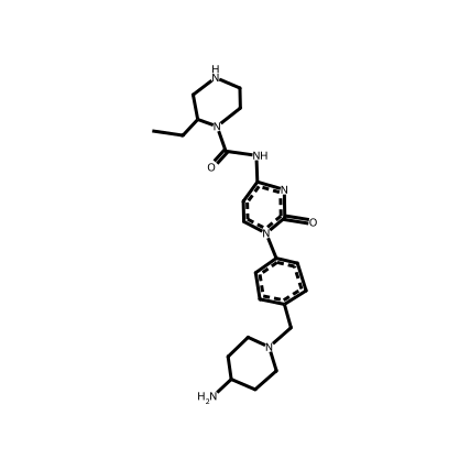 CCC1CNCCN1C(=O)Nc1ccn(-c2ccc(CN3CCC(N)CC3)cc2)c(=O)n1